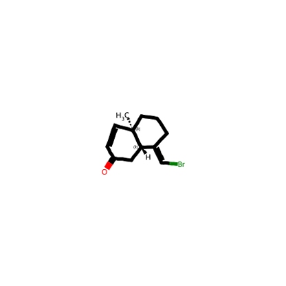 C[C@@]12C=CC(=O)C[C@H]1C(=CBr)CCC2